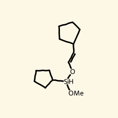 CO[SiH](OC=CC1CCCC1)C1CCCC1